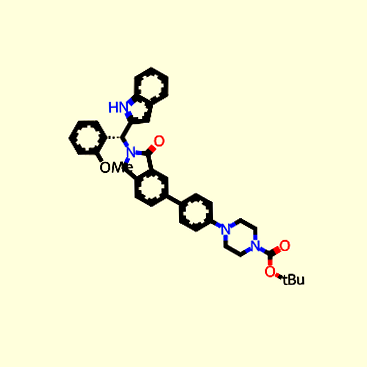 COc1ccccc1[C@H](c1cc2ccccc2[nH]1)N1Cc2ccc(-c3ccc(N4CCN(C(=O)OC(C)(C)C)CC4)cc3)cc2C1=O